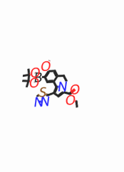 CCOC(=O)c1cc(-c2nncs2)c2n1CCc1cc(OC)c(B3OC(C)(C)C(C)(C)O3)cc1-2